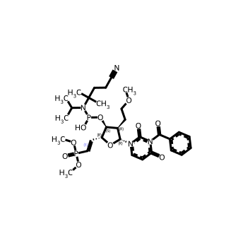 COCC[C@@H]1[C@H](OP(O)N(C(C)C)C(C)(C)CCC#N)[C@@H](/C=C/P(=O)(OC)OC)O[C@H]1n1ccc(=O)n(C(=O)c2ccccc2)c1=O